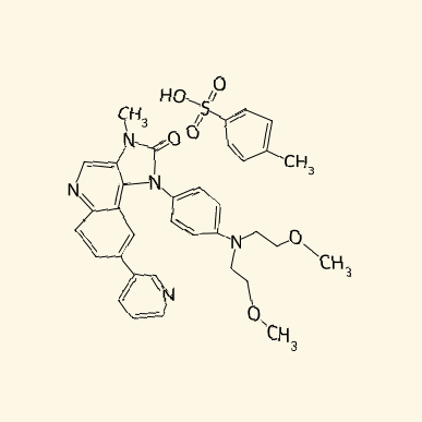 COCCN(CCOC)c1ccc(-n2c(=O)n(C)c3cnc4ccc(-c5cccnc5)cc4c32)cc1.Cc1ccc(S(=O)(=O)O)cc1